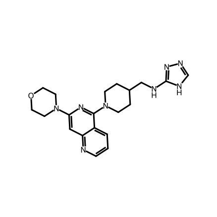 c1cnc2cc(N3CCOCC3)nc(N3CCC(CNc4nnc[nH]4)CC3)c2c1